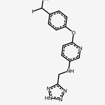 CCCC(I)c1ccc(Oc2ccc(NCc3nn[nH]n3)cn2)cc1